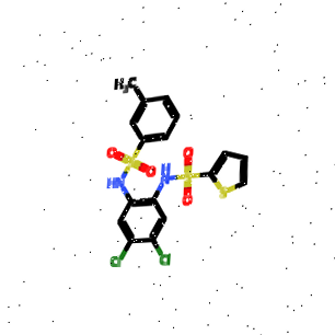 Cc1cccc(S(=O)(=O)Nc2cc(Cl)c(Cl)cc2NS(=O)(=O)c2cccs2)c1